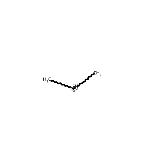 CCCCCCCCCCCCCOP(=S)(S)OCCCCCCCCCCCCC